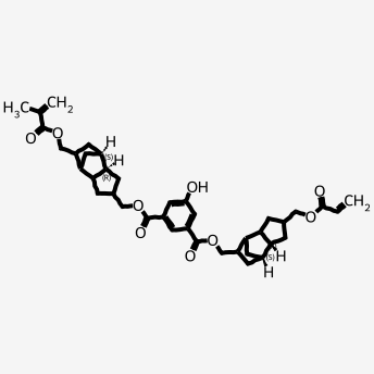 C=CC(=O)OCC1CC2C3C[C@@H](CC3COC(=O)c3cc(O)cc(C(=O)OCC4CC5C6C[C@@H](CC6COC(=O)C(=C)C)[C@H]5C4)c3)[C@H]2C1